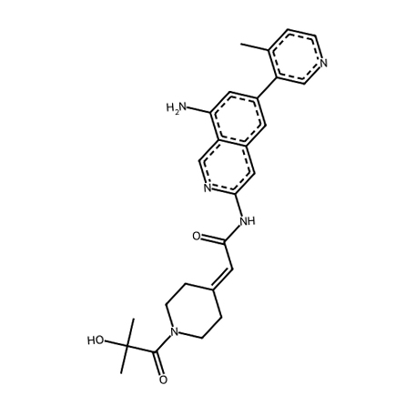 Cc1ccncc1-c1cc(N)c2cnc(NC(=O)C=C3CCN(C(=O)C(C)(C)O)CC3)cc2c1